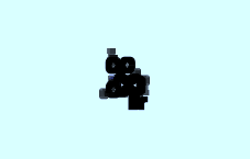 CO/C=C(/C(=O)OC)c1cccc(Br)c1C